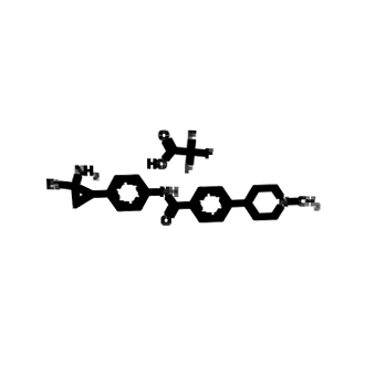 CCC1(N)CC1c1ccc(NC(=O)c2ccc(C3CCN(C)CC3)cc2)cc1.O=C(O)C(F)(F)F